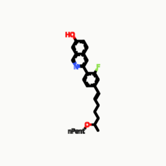 CCCCCOC(C)CCCC=Cc1ccc(-c2cc3ccc(O)cc3cn2)c(F)c1